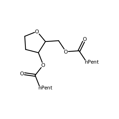 CCCCCC(=O)OCC1OCCC1OC(=O)CCCCC